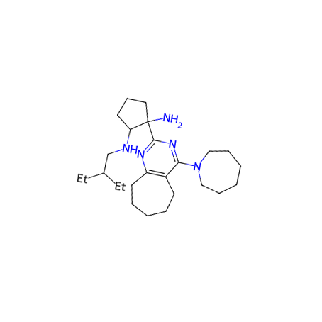 CCC(CC)CNC1CCCC1(N)c1nc2c(c(N3CCCCCC3)n1)CCCCC2